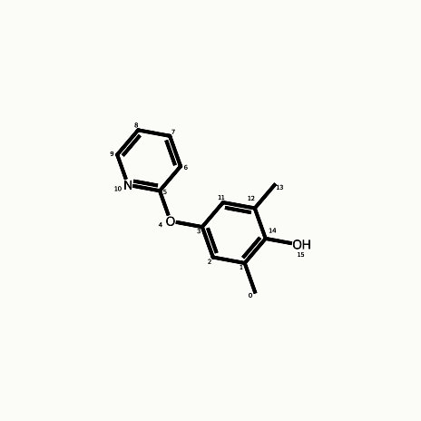 Cc1cc(Oc2ccc[c]n2)cc(C)c1O